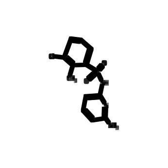 Cc1c(Cl)cccc1S(=O)(=O)Nc1cccc(N)n1